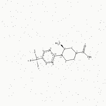 C[C@H]1CN(C(=O)O)CCN1c1ncc(C(F)(F)F)cn1